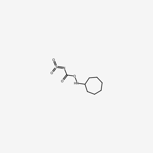 O=C(N=S(=O)=O)ONC1CCCCCC1